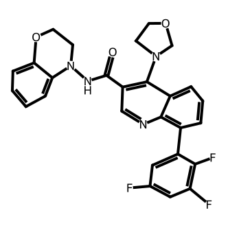 O=C(NN1CCOc2ccccc21)c1cnc2c(-c3cc(F)cc(F)c3F)cccc2c1N1CCOC1